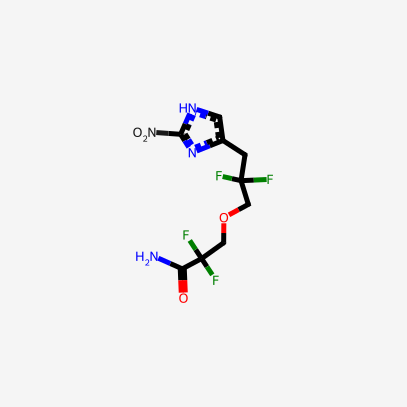 NC(=O)C(F)(F)COCC(F)(F)Cc1c[nH]c([N+](=O)[O-])n1